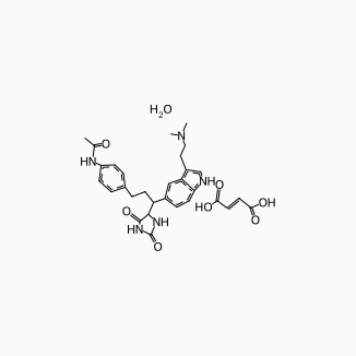 CC(=O)Nc1ccc(CCC(c2ccc3[nH]cc(CCN(C)C)c3c2)C2NC(=O)NC2=O)cc1.O.O=C(O)C=CC(=O)O